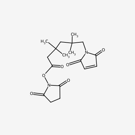 CC(C)(CC(=O)ON1C(=O)CCC1=O)CC(C)(C)CN1C(=O)C=CC1=O